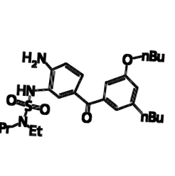 CCCCOc1cc(CCCC)cc(C(=O)c2ccc(N)c(NS(=O)(=O)N(CC)C(C)C)c2)c1